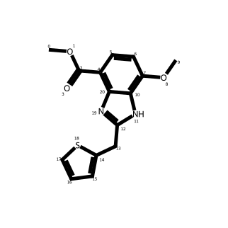 COC(=O)c1ccc(OC)c2[nH]c(Cc3cccs3)nc12